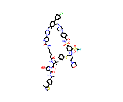 Cc1ncsc1-c1ccc([C@H](C)NC(=O)[C@@H]2C[C@@H](O)CN2C(=O)[C@@H](NC(=O)CCCCCNC(=O)c2ccc(N3CCN(CC4(C)CCC(c5ccc(Cl)cc5)=C(CN5CCN(c6ccc(C(=O)NS(=O)(=O)c7ccc(N[C@H](CCN8CCOCC8)CSc8ccccc8)c(S(=O)(=O)C(F)(F)F)c7)cc6)CC5)C4)CC3)cn2)C(C)(C)C)cc1